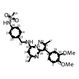 COc1ccc(-c2c(C)nn3c(NCc4ccc(NS(C)(=O)=O)cc4)cc(C)nc23)cc1OC